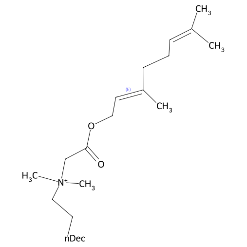 CCCCCCCCCCCC[N+](C)(C)CC(=O)OC/C=C(\C)CCC=C(C)C